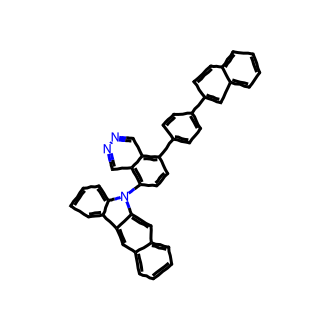 c1ccc2cc(-c3ccc(-c4ccc(-n5c6ccccc6c6cc7ccccc7cc65)c5cnncc45)cc3)ccc2c1